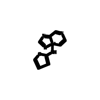 C1=C[N+]2(Nc3ccco3)N=CN=C2C=N1